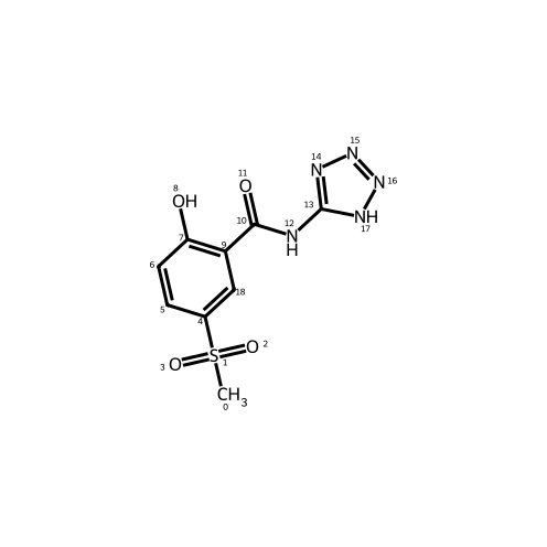 CS(=O)(=O)c1ccc(O)c(C(=O)Nc2nnn[nH]2)c1